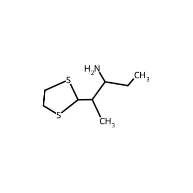 CCC(N)C(C)C1SCCS1